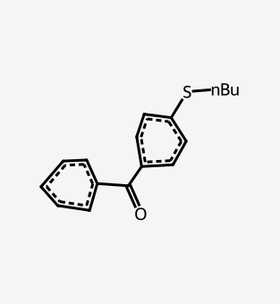 CCCCSc1ccc(C(=O)c2ccccc2)cc1